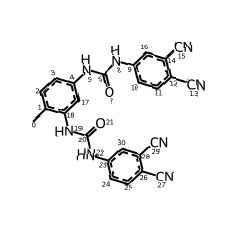 Cc1ccc(NC(=O)Nc2ccc(C#N)c(C#N)c2)cc1NC(=O)Nc1ccc(C#N)c(C#N)c1